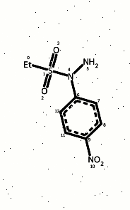 CCS(=O)(=O)N(N)c1ccc([N+](=O)[O-])cc1